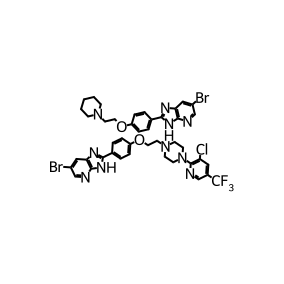 Brc1cnc2[nH]c(-c3ccc(OCCN4CCCCC4)cc3)nc2c1.FC(F)(F)c1cnc(N2CCN(CCOc3ccc(-c4nc5cc(Br)cnc5[nH]4)cc3)CC2)c(Cl)c1